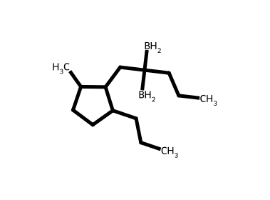 BC(B)(CCC)CC1C(C)CCC1CCC